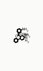 Nc1cccc(C(=O)C2=C(c3ccccc3)C=CC(N)(N)C2(O)O)c1